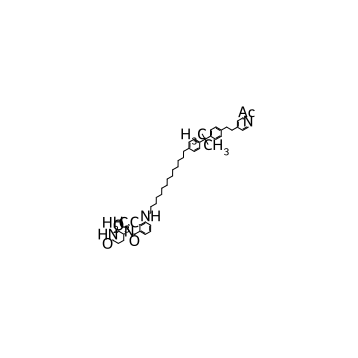 C=CN(C(=O)c1cccc(NCCCCCCCCCCCCCCc2ccc(C(C)(C)c3ccc(CCc4ccnc(C(C)=O)c4)cc3)cc2)c1C)C1CCC(=O)NC1=O